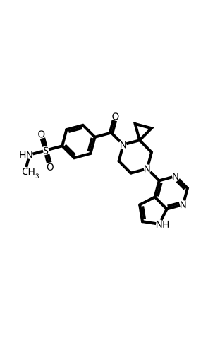 CNS(=O)(=O)c1ccc(C(=O)N2CCN(c3ncnc4[nH]ccc34)CC23CC3)cc1